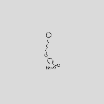 COC(=O)c1ccc(OCCCCCCc2ccccc2)cc1